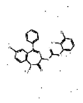 CN1C(=O)C(NC(=S)Nc2cccc(Cl)c2C#N)N=C(c2ccccc2)c2cc(Cl)ccc21